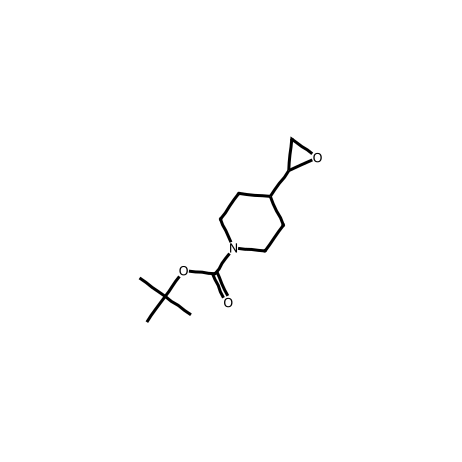 CC(C)(C)OC(=O)N1CCC(C2CO2)CC1